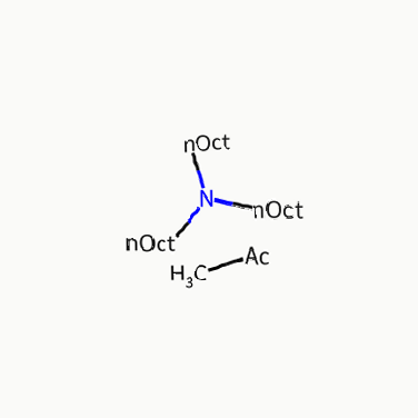 CC(C)=O.CCCCCCCCN(CCCCCCCC)CCCCCCCC